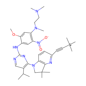 COc1cc(N(C)CCN(C)C)c([N+](=O)[O-])cc1Nc1ncc(C(C)C)c(N2CC(C)(C)c3nc(C#C[Si](C)(C)C)ccc32)n1